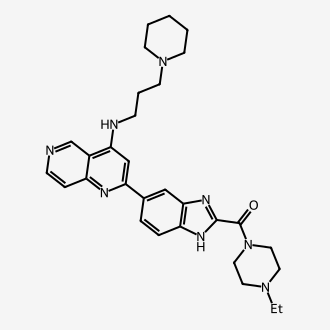 CCN1CCN(C(=O)c2nc3cc(-c4cc(NCCCN5CCCCC5)c5cnccc5n4)ccc3[nH]2)CC1